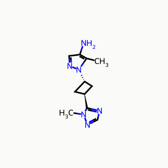 Cc1c(N)cnn1[C@H]1C[C@H](c2ncnn2C)C1